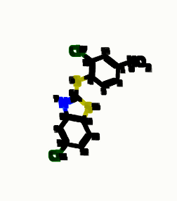 O=[N+]([O-])c1c[c]c(Sc2nc3cc(Cl)ccc3s2)c(Cl)c1